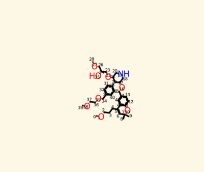 COCCCC1=CC(C)(C)Oc2ccc(CO[C@H]3CNC[C@@H](OCC(O)COC)[C@@H]3c3ccc(COCCOC)cc3)cc21